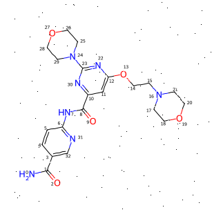 NC(=O)c1ccc(NC(=O)c2cc(OCCN3CCOCC3)nc(N3CCOCC3)n2)nc1